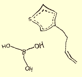 C=CCc1ccsc1.OB(O)O